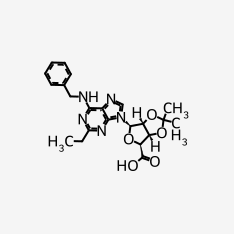 CCc1nc(NCc2ccccc2)c2ncn([C@@H]3O[C@H](C(=O)O)[C@H]4OC(C)(C)O[C@H]43)c2n1